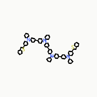 c1ccc(N(c2ccc(-c3ccc(N(c4ccccc4)c4ccc(-c5ccc(N(c6ccccc6)c6ccc(-c7cc8ccccc8s7)cc6)cc5)cc4)cc3)cc2)c2ccc(-c3ccc(N(c4ccccc4)c4ccc(-c5cc6ccccc6s5)cc4)cc3)cc2)cc1